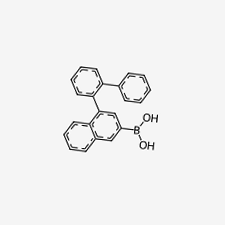 OB(O)c1cc(-c2ccccc2-c2ccccc2)c2ccccc2c1